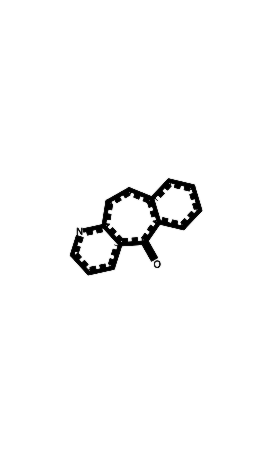 O=c1c2ccccc2ccc2ncccc12